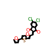 O=C1C(=Cc2cc3sc(-c4ccco4)cc3o2)C(=O)c2cc(Cl)c(Cl)cc21